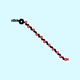 CCCCCCCCc1ccc(OCCOCCOCCOCCOCCOCCOCCOCCOCCOCCO)cc1